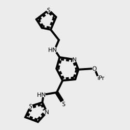 CC(C)Oc1cc(C(=S)Nc2nccs2)cc(NCc2ccsc2)n1